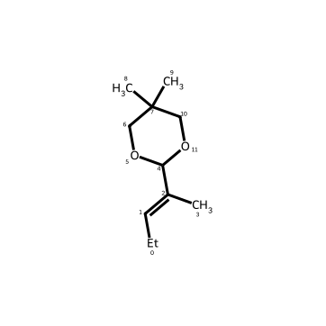 CC/C=C(\C)C1OCC(C)(C)CO1